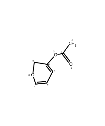 CC(=O)OC1=CC=COC1